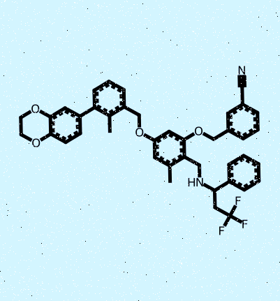 Cc1cc(OCc2cccc(-c3ccc4c(c3)OCCO4)c2C)cc(OCc2cccc(C#N)c2)c1CNC(CC(F)(F)F)c1ccccc1